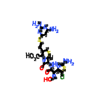 Nc1cc(S/C=C/C2=C(C(=O)O)N3C(=O)[C@@H](NC(=O)/C(=N\O)c4nc(N)sc4Cl)[C@H]3SC2)nc(N)n1